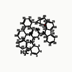 CC12C=CCCC1N(c1cc(-n3c4ccccc4c4ccccc43)nc(-c3c(C4C=CCCC4)cccc3C3C4=CCCC43)n1)C1=C2CCC=C1